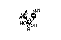 CCOP(=O)(/C=C/[C@H]1O[C@H](Cc2ccc(N=[N+]=[N-])cc2)[C@@H](O)[C@@H](O)[C@@H]1O)OCC